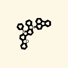 c1ccc(-n2c3ccc4c5ccccc5oc4c3c3ccc4c(c5ccccc5n4-c4ccc5c6c(cccc46)-c4ccccc4-5)c32)cc1